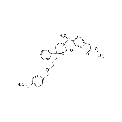 COC(=O)Cc1ccc([C@H](C)N2CCC(CCCOCc3ccc(OC)cc3)(c3ccccc3)OC2=O)cc1